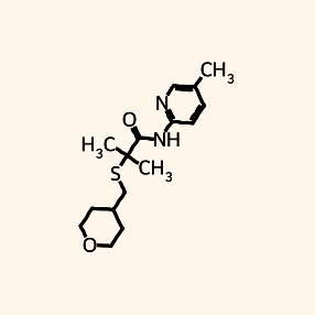 Cc1ccc(NC(=O)C(C)(C)SCC2CCOCC2)nc1